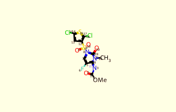 COC(=O)/N=c1\c(F)cn(S(=O)(=O)c2cc(Cl)sc2Cl)c(=O)n1C